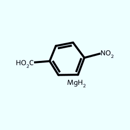 O=C(O)c1ccc([N+](=O)[O-])cc1.[MgH2]